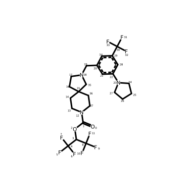 O=C(OC(C(F)(F)F)C(F)(F)F)N1CCC2(CCN(Cc3cc(N4CCCC4)cc(C(F)(F)F)c3)C2)CC1